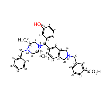 C[C@@H]1CN(C(c2cccc(O)c2)c2ccc3c(c2)CN(Cc2cccc(C(=O)O)c2)C3)[C@H](C)CN1Cc1ccccc1